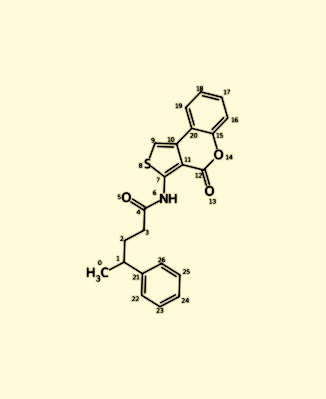 CC(CCC(=O)Nc1scc2c1c(=O)oc1ccccc12)c1ccccc1